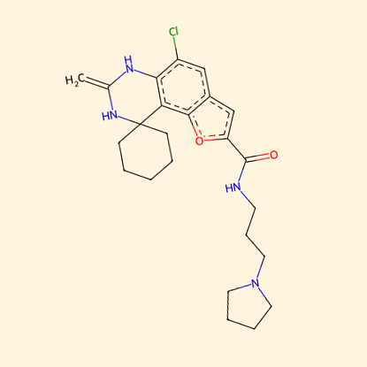 C=C1Nc2c(Cl)cc3cc(C(=O)NCCCN4CCCC4)oc3c2C2(CCCCC2)N1